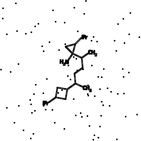 CC(C)C1CC(C(C)CCC(C)C2(N)CC2C(C)C)C1